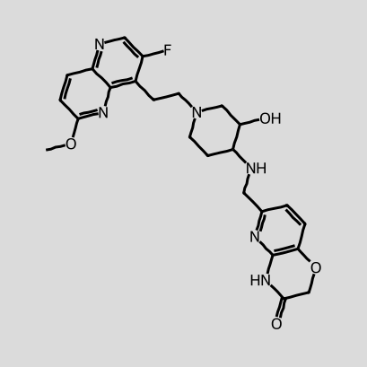 COc1ccc2ncc(F)c(CCN3CCC(NCc4ccc5c(n4)NC(=O)CO5)C(O)C3)c2n1